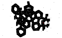 Cc1cc(-c2ccc(C(F)(F)F)c3c2C2(c4cccc(C(F)(F)F)c4-c4c(C(F)(F)F)cccc42)c2cccc(C(F)(F)F)c2-3)cc(N(c2ccccc2)c2ccc(-c3ccccc3)cc2)c1